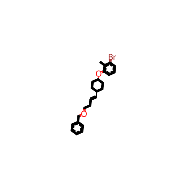 Cc1c(Br)cccc1O[C@H]1CC[C@H](/C=C/CCOCc2ccccc2)CC1